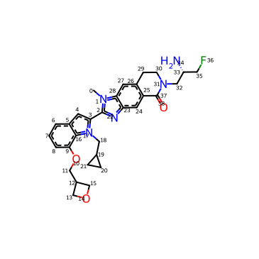 Cn1c(-c2cc3cccc(OCC4COC4)c3n2CC2CC2)nc2cc3c(cc21)CCN(C[C@H](N)CF)C3=O